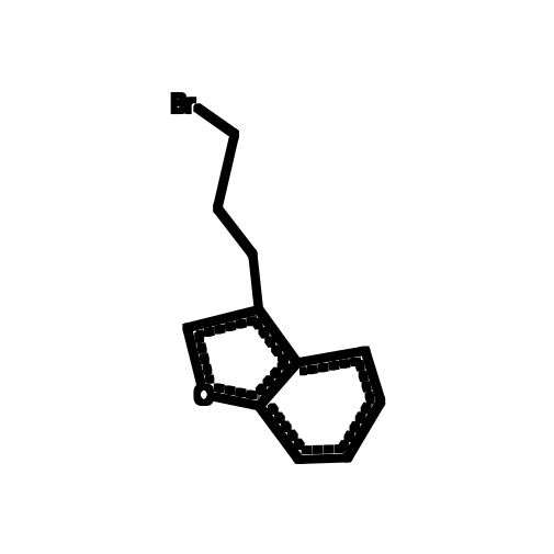 BrCCCc1coc2ccccc12